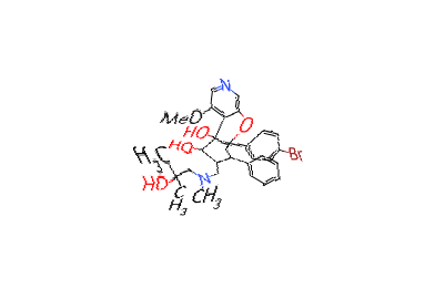 COc1cncc2c1C1(O)C(O)C(CN(C)CC(C)(C)O)C(c3ccccc3)C1(c1ccc(Br)cc1)O2